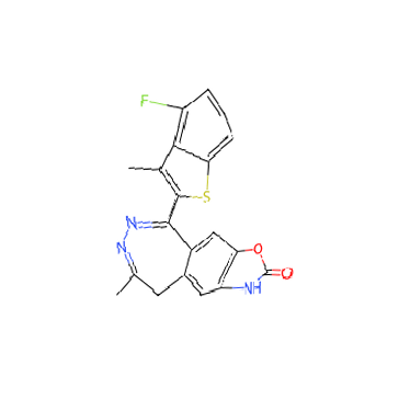 CC1=NN=C(c2sc3cccc(F)c3c2C)c2cc3oc(=O)[nH]c3cc2C1